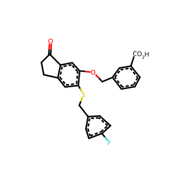 O=C(O)c1cccc(COc2cc3c(cc2SCc2ccc(F)cc2)CCC3=O)c1